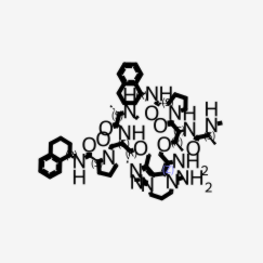 CN[C@@H](C)C(=O)N[C@H](C(=O)N1CCC[C@H]1C(=O)N[C@@H]1CCCc2ccccc21)[C@@H](C)OC/C(N)=C1\c2c(CO[C@H](C)[C@H](NC(=O)[C@H](C)NC)C(=O)N3CCC[C@H]3C(=O)N[C@@H]3CCCc4ccccc43)nnn2CCCN1N